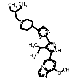 CCC(CC)CN1CCC(c2cnc(-c3n[nH]c(-c4cc(OC)c5nccn5c4)c3C(C)C)s2)CC1